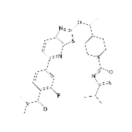 CC(C)c1noc(N2CCC(C(C)Oc3nc4ccc(-c5ccc(C(=O)N(C)C)c(F)c5)nc4s3)CC2)n1